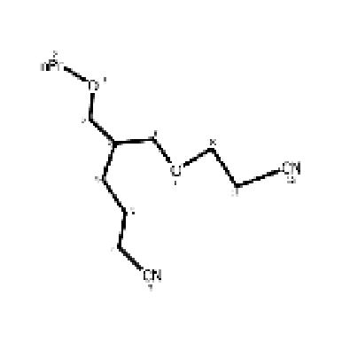 CCCOCC(CCCC#N)COCCC#N